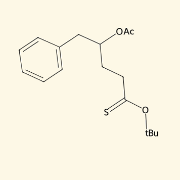 CC(=O)OC(CCC(=S)OC(C)(C)C)Cc1ccccc1